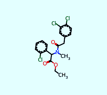 CCOC(=O)C(c1ccccc1Cl)N(C)C(=O)Cc1ccc(Cl)c(Cl)c1